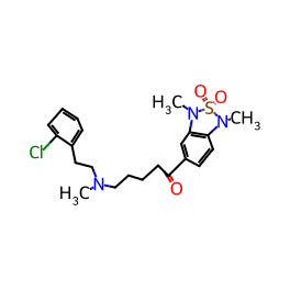 CN(CCCCC(=O)c1ccc2c(c1)N(C)S(=O)(=O)N2C)CCc1ccccc1Cl